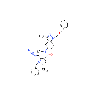 Cc1nn(COCc2ccccc2)c2c1CC(N(C(=O)c1cc(C)n(Cc3ccccc3)c1CN=[N+]=[N-])C1CC1)CC2